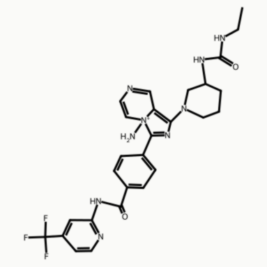 CCNC(=O)NC1CCCN(C2=C3C=NC=C[N+]3(N)C(c3ccc(C(=O)Nc4cc(C(F)(F)F)ccn4)cc3)=N2)C1